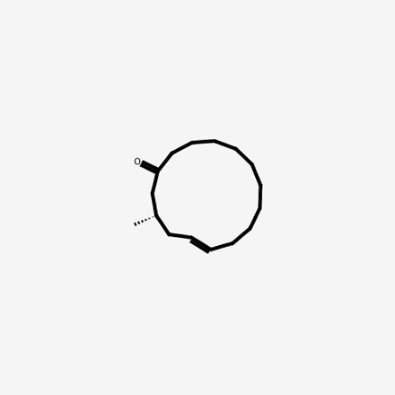 C[C@H]1C/C=C/CCCCCCCCCC(=O)C1